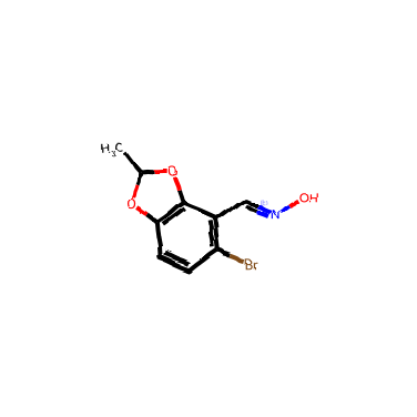 CC1Oc2ccc(Br)c(/C=N/O)c2O1